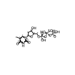 Cc1cn(C2CC(O)C(COP(=O)(O)OP(O)(=S)OP(=O)(O)O)O2)c(=O)[nH]c1=O